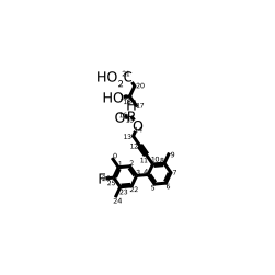 Cc1cc(-c2cccc(C)c2C#CCO[PH](=O)CC(O)CC(=O)O)cc(C)c1F